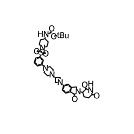 CC(C)(C)OC(=O)NC1CCN(S(=O)(=O)c2cccc(N3CCN(C4CN(c5ccc6c(c5)CN(C5CCC(=O)NC5=O)C6=O)C4)CC3)c2)CC1